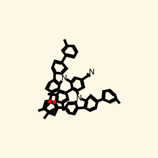 Cc1cccc(-c2ccc3c4ccc(-c5cccc(C)c5)cc4n(-c4cc(C#N)cc(-n5c6cc(-c7cccc(C)c7)ccc6c6ccc(-c7cccc(C)c7)cc65)c4-c4cc(C)cc(C)c4)c3c2)c1